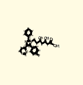 O=C(O)CC(O)CC(O)CCn1c(-c2ccccc2)nc(-c2ccncn2)c1-c1ccc(F)cc1